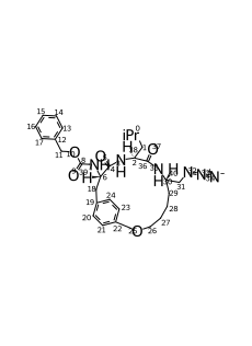 CC(C)C[C@@H]1NC(=O)[C@@H](NC(=O)OCc2ccccc2)Cc2ccc(cc2)OCCCC[C@@H](CN=[N+]=[N-])NC1=O